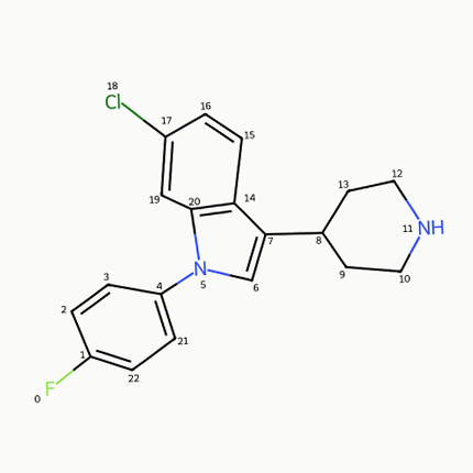 Fc1ccc(-n2cc(C3CCNCC3)c3ccc(Cl)cc32)cc1